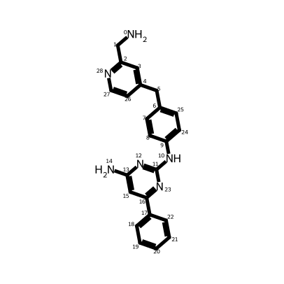 NCc1cc(Cc2ccc(Nc3nc(N)cc(-c4ccccc4)n3)cc2)ccn1